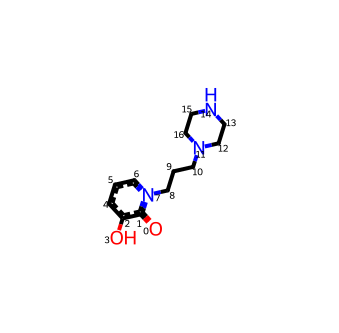 O=c1c(O)cccn1CCCN1CCNCC1